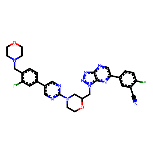 N#Cc1cc(-c2cnc3nnn(CC4CN(c5ncc(-c6ccc(CN7CCOCC7)c(F)c6)cn5)CCO4)c3n2)ccc1F